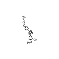 CC(C)Oc1ccc(-c2nc(-c3ccc(OCOCC[Si](C)(C)C)cc3)no2)cc1C#N